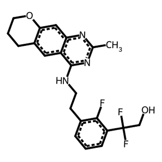 Cc1nc(NCCc2cccc(C(F)(F)CO)c2F)c2cc3c(cc2n1)OCCC3